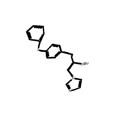 CCCCC(Cc1ccc(Sc2ccccc2)cc1)Cn1ccnc1